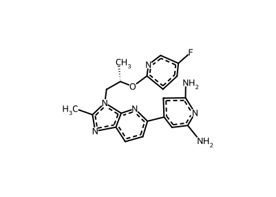 Cc1nc2ccc(-c3cc(N)nc(N)c3)nc2n1C[C@H](C)Oc1ccc(F)cn1